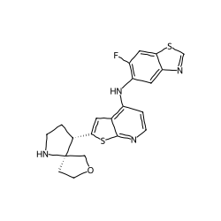 Fc1cc2scnc2cc1Nc1ccnc2sc([C@H]3CCN[C@@]34CCOC4)cc12